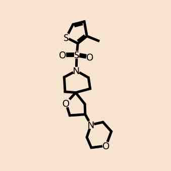 Cc1ccsc1S(=O)(=O)N1CCC2(CC1)CC(N1CCOCC1)CO2